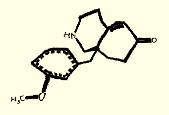 COc1cccc(CC23CCC(=O)C=C2CCNC3)c1